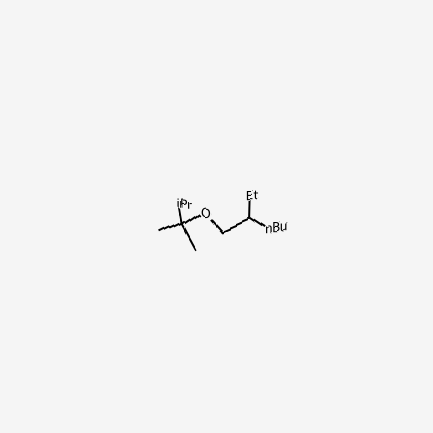 CCCCC(CC)COC(C)(C)C(C)C